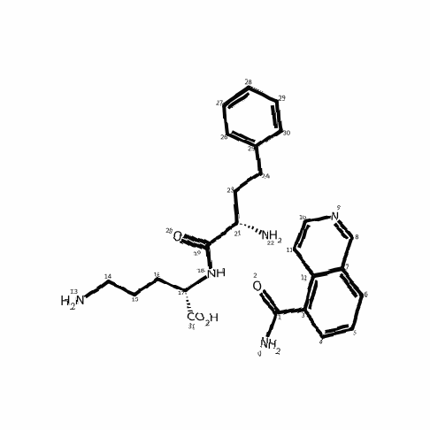 NC(=O)c1cccc2cnccc12.NCCC[C@H](NC(=O)[C@@H](N)CCc1ccccc1)C(=O)O